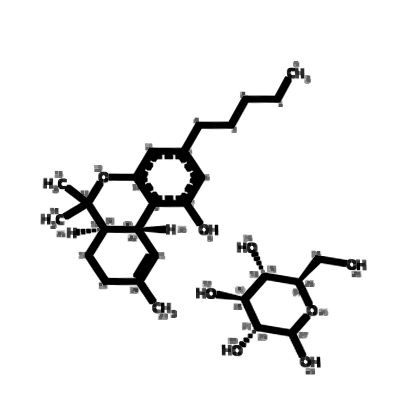 CCCCCc1cc(O)c2c(c1)OC(C)(C)[C@@H]1CCC(C)=C[C@@H]21.OC[C@H]1OC(O)[C@H](O)[C@@H](O)[C@@H]1O